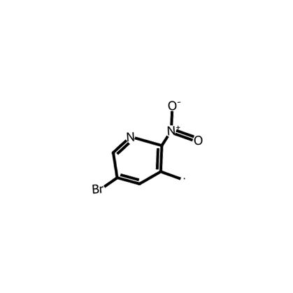 [CH2]c1cc(Br)cnc1[N+](=O)[O-]